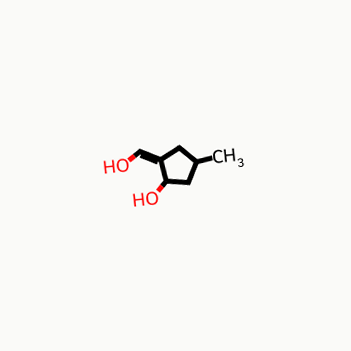 CC1C/C(=C/O)C(O)C1